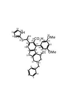 CCC1CN(Cc2ccccc2)Cc2sc3nc(C(C)Sc4ncc[nH]4)c(C(=O)O)c(-c4cc(OC)cc(OC)c4)c3c21